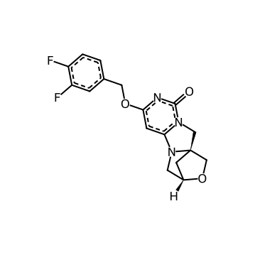 O=c1nc(OCc2ccc(F)c(F)c2)cc2n1C[C@]13CO[C@H](CN21)C3